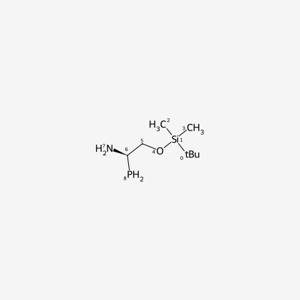 CC(C)(C)[Si](C)(C)OC[C@H](N)P